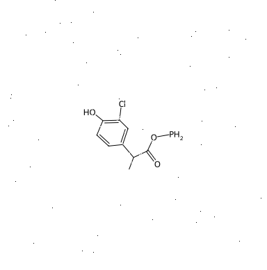 CC(C(=O)OP)c1ccc(O)c(Cl)c1